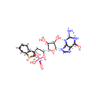 Nc1nc2c(ncn2[C@@H]2O[C@H](C(Cc3csc4ccccc34)OP(=O)(O)O)[C@@H](O)[C@H]2O)c(=O)[nH]1